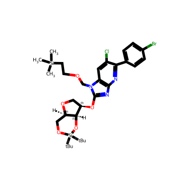 CC(C)(C)[Si]1(C(C)(C)C)OC[C@H]2OC[C@@H](Oc3nc4nc(-c5ccc(Br)cc5)c(Cl)cc4n3COCC[Si](C)(C)C)[C@H]2O1